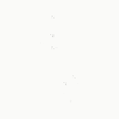 N#CCNC(=O)NCc1ccc(-c2noc(C(F)(F)F)n2)cc1